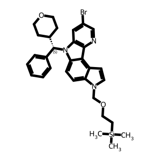 C[Si](C)(C)CCOCn1ccc2c3c4ncc(Br)cc4n([C@H](c4ccccc4)C4CCOCC4)c3ccc21